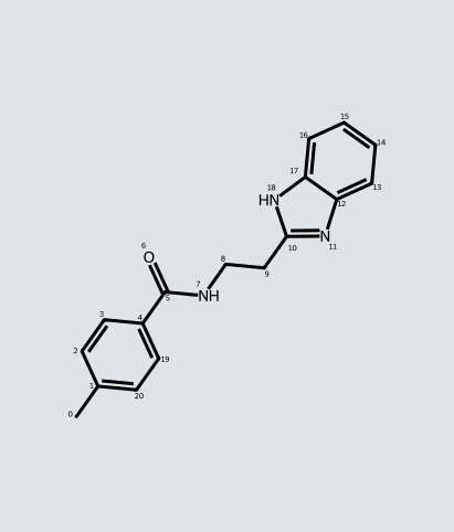 Cc1ccc(C(=O)NCCc2nc3ccccc3[nH]2)cc1